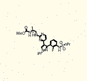 CCCS(=O)(=O)Nc1cccc(-c2nn(C(C)C)cc2-c2ccnc(NC[C@H](C)NC(=O)OC)n2)c1F